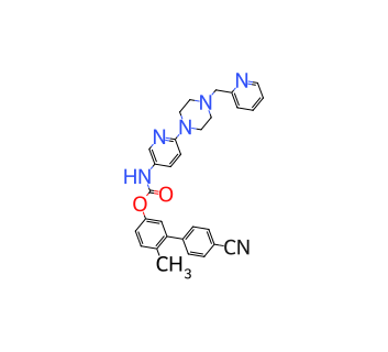 Cc1ccc(OC(=O)Nc2ccc(N3CCN(Cc4ccccn4)CC3)nc2)cc1-c1ccc(C#N)cc1